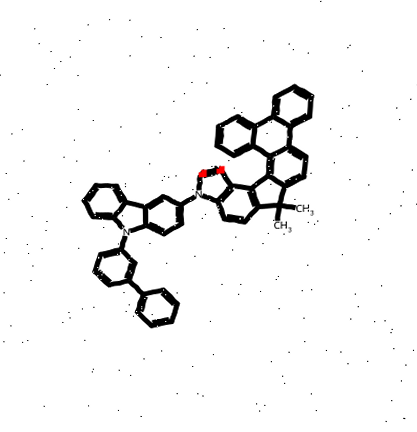 CC1(C)c2ccc3c4ccccc4c4ccccc4c3c2-c2c1ccc1c2c2cnccc2n1-c1ccc2c(c1)c1ccccc1n2-c1cccc(-c2ccccc2)c1